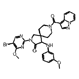 COc1cccc(NC2C(=O)N(c3ncc(Br)c(OC)n3)CC23CCN(C(=O)c2cnn4ccccc24)CC3)c1